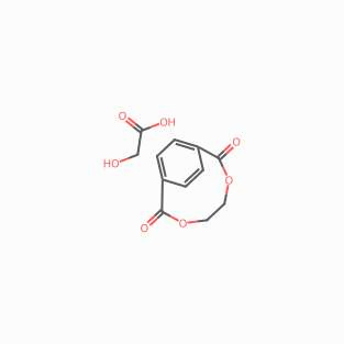 O=C(O)CO.O=C1OCCOC(=O)c2ccc1cc2